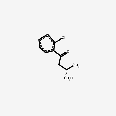 N[C@@H](CC(=O)c1ccccc1Cl)C(=O)O